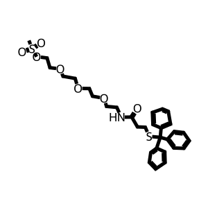 CS(=O)(=O)OCCOCCOCCOCCNC(=O)CCSC(c1ccccc1)(c1ccccc1)c1ccccc1